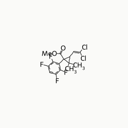 COC(=O)C1(c2c(F)c(F)cc(F)c2F)C(C=C(Cl)Cl)C1(C)C